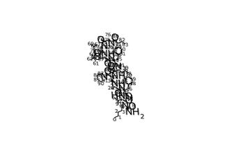 CCCCCN(C(N)=O)C(=O)[C@@H](NC(=O)[C@H](Cc1ccccc1)N(C)C(=O)[C@@H](C)NC[C@H](NC(=O)[C@H](CC(C)C)N(C)C(=O)[C@H](Cc1ccccc1)N(C)C(=O)C(COC(C)(C)C)NC(=O)[C@H](CC(C)C)N(C)C(=O)[C@H](C)N(C)C(=O)CCC)C(=O)N1CCCCC1)C(C)C